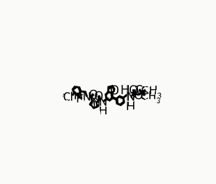 CC(C)(C)OC(=O)NCc1cccc(-c2cc(NC(=O)N3CCCC3C(=O)NCc3cccc(Cl)c3F)cc3ccoc23)c1